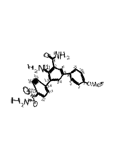 COc1ccc(-c2cc(C(N)=O)c(N)c(-c3ccc(S(N)(=O)=O)cc3)c2)cc1